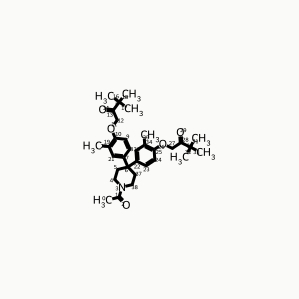 CC(=O)N1CCC(c2ccc(OCC(=O)C(C)(C)C)c(C)c2)(c2ccc(OCC(=O)C(C)(C)C)c(C)c2)CC1